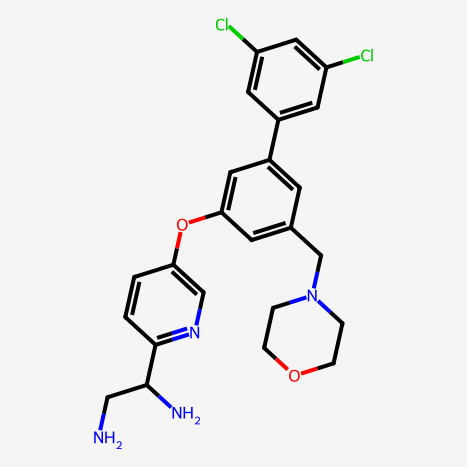 NCC(N)c1ccc(Oc2cc(CN3CCOCC3)cc(-c3cc(Cl)cc(Cl)c3)c2)cn1